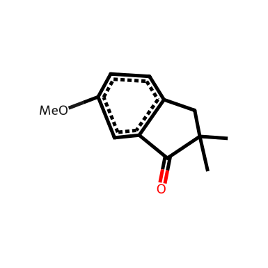 COc1ccc2c(c1)C(=O)C(C)(C)C2